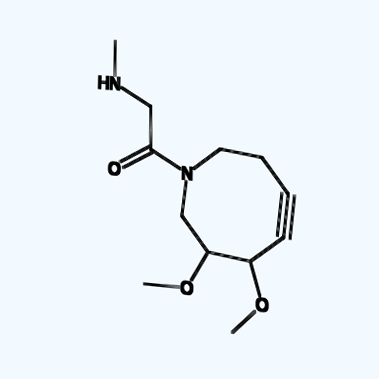 CNCC(=O)N1CCC#CC(OC)C(OC)C1